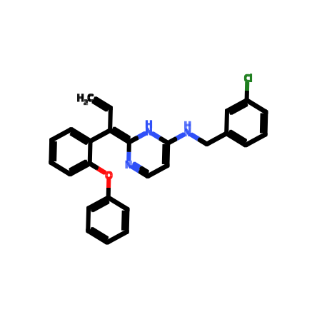 C=C/C(=C1/N=CC=C(NCc2cccc(Cl)c2)N1)c1ccccc1Oc1ccccc1